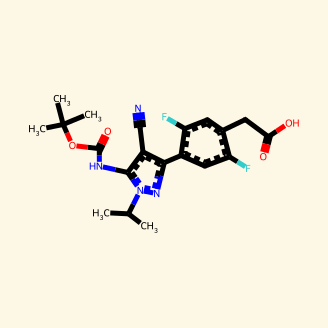 CC(C)n1nc(-c2cc(F)c(CC(=O)O)cc2F)c(C#N)c1NC(=O)OC(C)(C)C